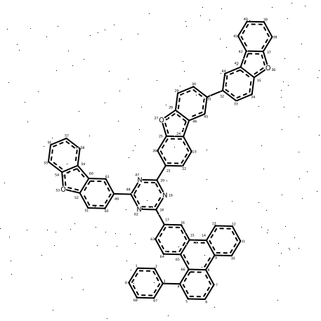 c1ccc(-c2cccc3c4ccccc4c4cc(-c5nc(-c6ccc7c(c6)oc6ccc(-c8ccc9oc%10ccccc%10c9c8)cc67)nc(-c6ccc7oc8ccccc8c7c6)n5)ccc4c23)cc1